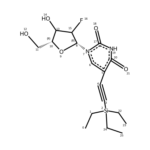 CC[Si](C#Cc1cn([C@@H]2O[C@H](CO)C(O)C2F)c(=O)[nH]c1=O)(CC)CC